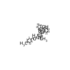 Cc1ccc(COCC[N+](C)(C)CC2CN=C(C(O)(c3ccccc3)C3CCCC3)O2)cc1